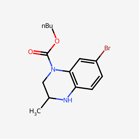 CCCCOC(=O)N1CC(C)Nc2ccc(Br)cc21